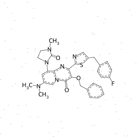 CN1CCN(c2cc(N(C)C)cn3c(=O)c(OCc4ccccc4)c(-c4ncc(Cc5ccc(F)cc5)s4)nc23)C1=O